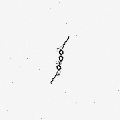 CCCCCCCCOc1ccc(-c2ccc(OC(=O)c3ccc(OCC(F)CCCCCC)cc3)cc2)cc1F